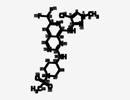 Cn1cc(Cl)c(Nc2nc(C(F)F)cc3cnc(NC4CCN(S(C)(=O)=O)CC4)nc23)n1